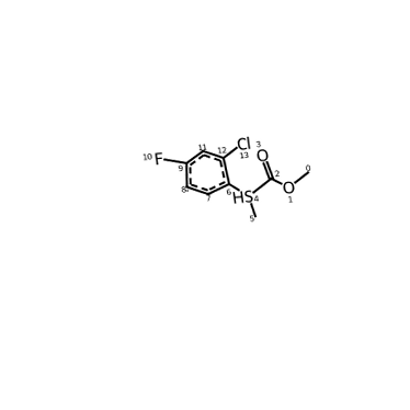 COC(=O)[SH](C)c1c[c]c(F)cc1Cl